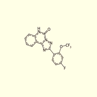 O=c1[nH]c2ccccc2c2nc(-c3ccc(F)cc3OC(F)(F)F)nn12